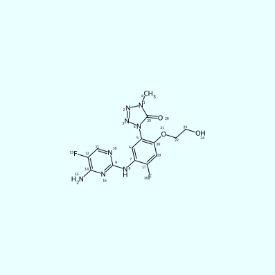 Cn1nnn(-c2cc(Nc3ncc(F)c(N)n3)c(F)cc2OCCO)c1=O